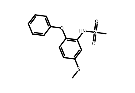 CSc1ccc(Oc2ccccc2)c(NS(C)(=O)=O)c1